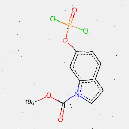 CC(C)(C)OC(=O)n1ccc2ccc(OP(=O)(Cl)Cl)cc21